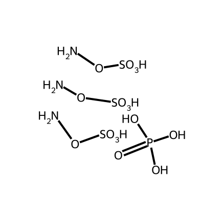 NOS(=O)(=O)O.NOS(=O)(=O)O.NOS(=O)(=O)O.O=P(O)(O)O